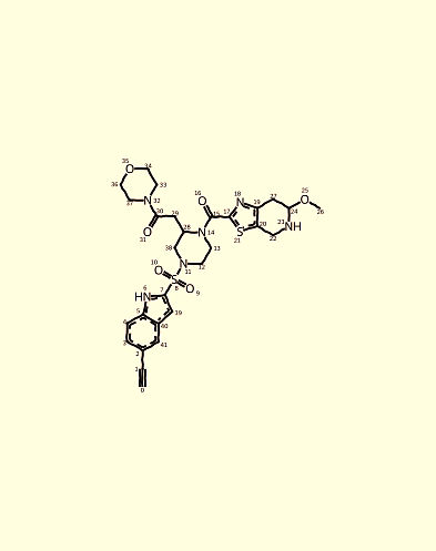 C#Cc1ccc2[nH]c(S(=O)(=O)N3CCN(C(=O)c4nc5c(s4)CNC(OC)C5)C(CC(=O)N4CCOCC4)C3)cc2c1